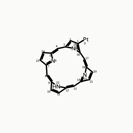 [Pt][c]1cc2cc3nc(cc4ccc(cc5nc(cc1[nH]2)C=C5)[nH]4)C=C3